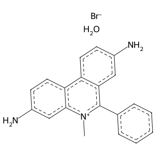 C[n+]1c(-c2ccccc2)c2cc(N)ccc2c2ccc(N)cc21.O.[Br-]